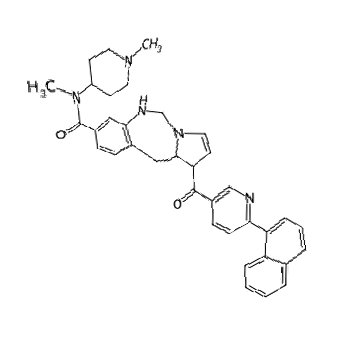 CN1CCC(N(C)C(=O)c2ccc3c(c2)NCN2C=CC(C(=O)c4ccc(-c5cccc6ccccc56)nc4)C2C3)CC1